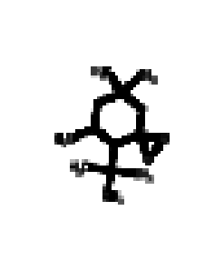 CC1CC(C)(C)CC2(OO2)C1C(C)(C)C